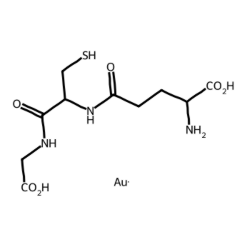 NC(CCC(=O)NC(CS)C(=O)NCC(=O)O)C(=O)O.[Au]